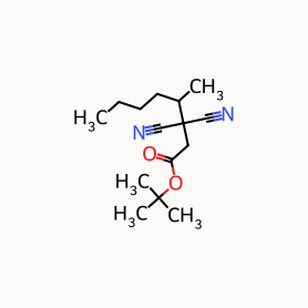 CCCCC(C)C(C#N)(C#N)CC(=O)OC(C)(C)C